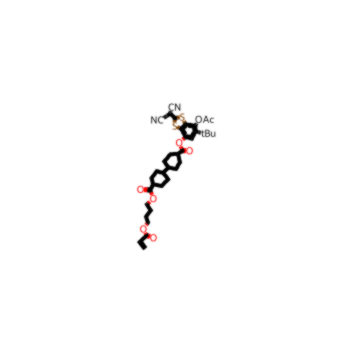 C=CC(=O)OCCCCOC(=O)C1CCC(C2CCC(C(=O)Oc3cc(C(C)(C)C)c(OC(C)=O)c4c3SC(C(C#N)C#N)S4)CC2)CC1